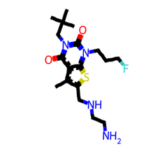 Cc1c(CNCCN)sc2c1c(=O)n(CC(C)(C)C)c(=O)n2CCCF